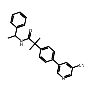 CC(NC(=O)C(C)(C)c1ccc(-c2cncc(C#N)c2)cc1)c1ccccc1